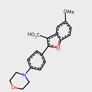 COc1ccc2oc(-c3ccc(N4CCOCC4)cc3)c(C(=O)O)c2c1